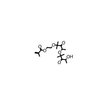 C=C(C)C(=O)OCCOC(C)(C)C(=O)C(C)OC(C)(C)C(=O)C(C)O